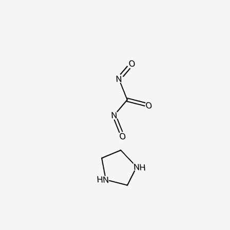 C1CNCN1.O=NC(=O)N=O